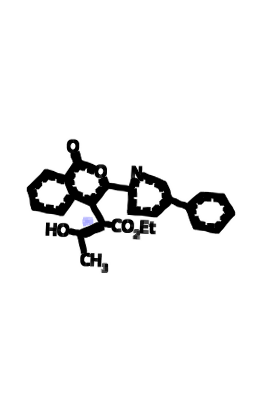 CCOC(=O)/C(=C(\C)O)c1c(-c2ccc(-c3ccccc3)cn2)oc(=O)c2ccccc12